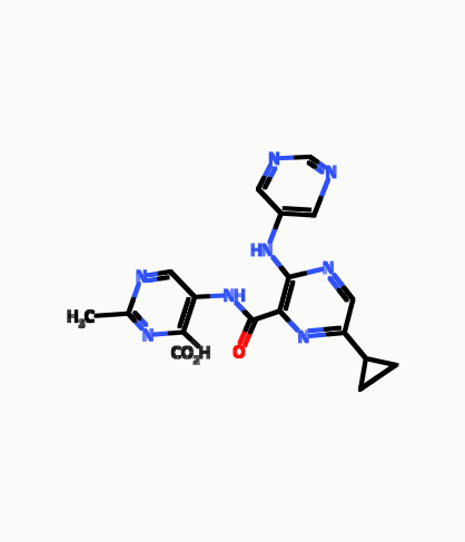 Cc1ncc(NC(=O)c2nc(C3CC3)cnc2Nc2cncnc2)c(C(=O)O)n1